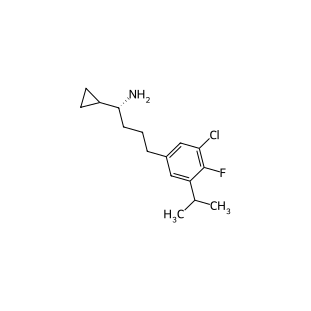 CC(C)c1cc(CCC[C@@H](N)C2CC2)cc(Cl)c1F